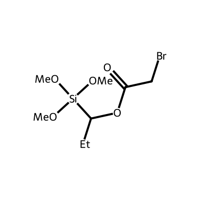 CCC(OC(=O)CBr)[Si](OC)(OC)OC